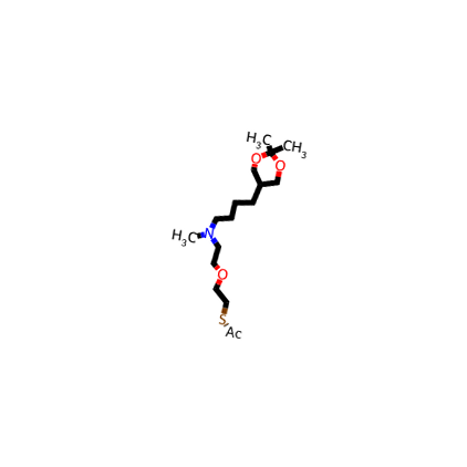 CC(=O)SCCOCCN(C)CCCCC1COC(C)(C)OC1